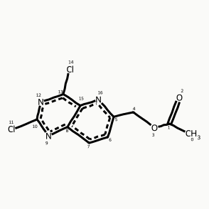 CC(=O)OCc1ccc2nc(Cl)nc(Cl)c2n1